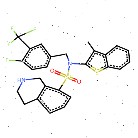 Cc1c(N(Cc2ccc(F)c(C(F)(F)F)c2)S(=O)(=O)c2cccc3c2CNCC3)sc2ccccc12